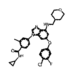 Cc1cc(-n2cnc3c(NCC4CCOCC4)cc(Oc4ccc(Cl)c(F)c4)cc32)ccc1C(=O)NC1CC1